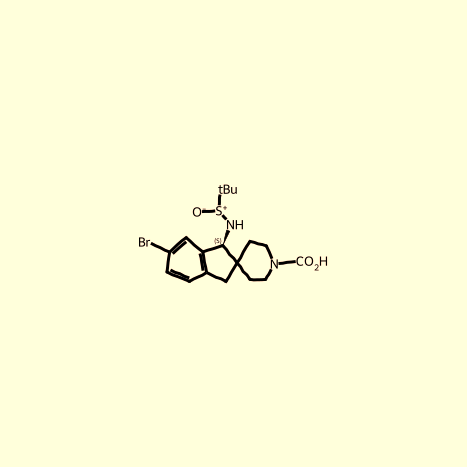 CC(C)(C)[S+]([O-])N[C@@H]1c2cc(Br)ccc2CC12CCN(C(=O)O)CC2